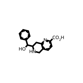 O=C(O)c1ccc2c(n1)CC(C(O)c1ccccc1)NC2